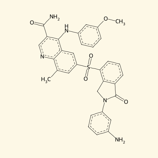 COc1cccc(Nc2c(C(N)=O)cnc3c(C)cc(S(=O)(=O)c4cccc5c4CN(c4cccc(N)c4)C5=O)cc23)c1